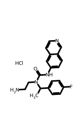 CC(c1ccc(F)cc1)N(CCN)C(=O)Nc1ccc2cnccc2c1.Cl